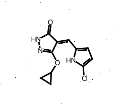 O=C1NN=C(OC2CC2)C1=Cc1ccc(Cl)[nH]1